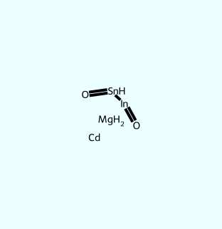 [Cd].[MgH2].[O]=[In][SnH]=[O]